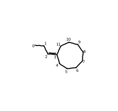 CCC=C1CCCCCCCC1